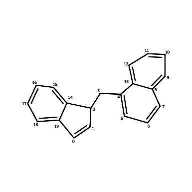 C1=CC(Cc2cccc3ccccc23)c2ccccc21